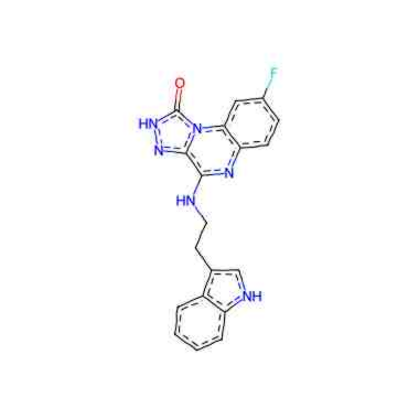 O=c1[nH]nc2c(NCCc3c[nH]c4ccccc34)nc3ccc(F)cc3n12